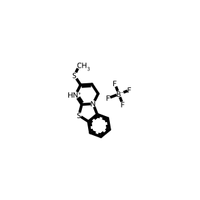 CSC1=CCN2C(=[NH+]1)Sc1ccccc12.F[B-](F)(F)F